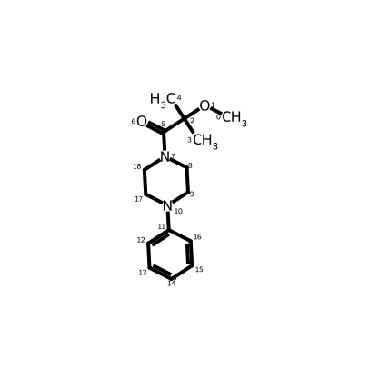 COC(C)(C)C(=O)N1CCN(c2cc[c]cc2)CC1